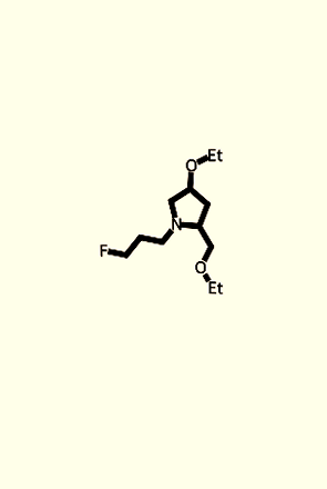 CCOCC1CC(OCC)CN1CCCF